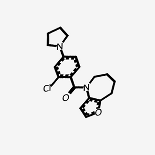 O=C(c1ccc(N2CCCC2)cc1Cl)N1CCCCc2occc21